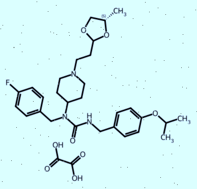 CC(C)Oc1ccc(CNC(=O)N(Cc2ccc(F)cc2)C2CCN(CCC3OC[C@H](C)O3)CC2)cc1.O=C(O)C(=O)O